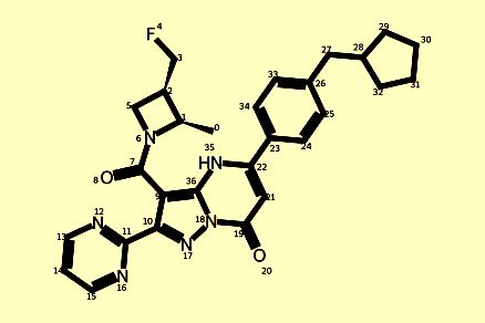 C[C@@H]1[C@H](CF)CN1C(=O)c1c(-c2ncccn2)nn2c(=O)cc(-c3ccc(CC4CCCC4)cc3)[nH]c12